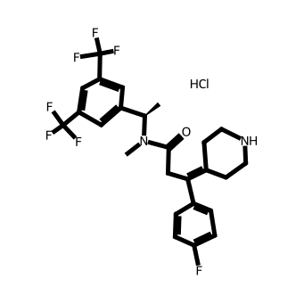 C[C@H](c1cc(C(F)(F)F)cc(C(F)(F)F)c1)N(C)C(=O)CC(=C1CCNCC1)c1ccc(F)cc1.Cl